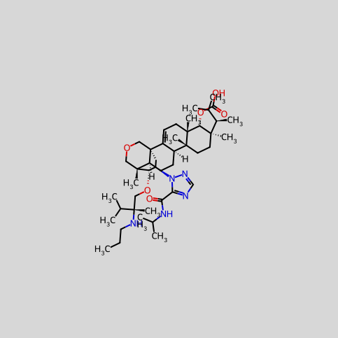 CCCN[C@@](C)(CO[C@H]1[C@H](n2ncnc2C(=O)NC(C)C)C[C@@]23COC[C@]1(C)[C@@H]2CC[C@H]1C3=CC[C@]2(C)[C@H](OC(=O)O)[C@@](C)([C@H](C)C(C)C)CC[C@]12C)C(C)C